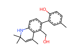 CC1=CC(C)(C)Nc2ccc(-c3cc(C)ccc3O)c(CO)c21